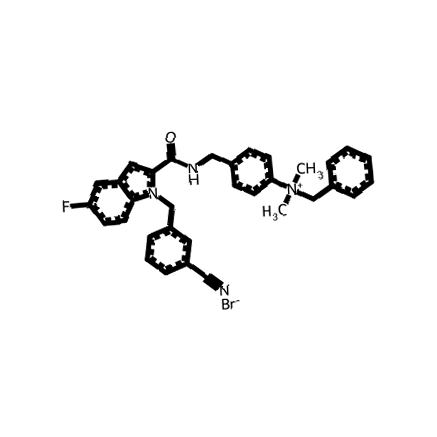 C[N+](C)(Cc1ccccc1)c1ccc(CNC(=O)c2cc3cc(F)ccc3n2Cc2cccc(C#N)c2)cc1.[Br-]